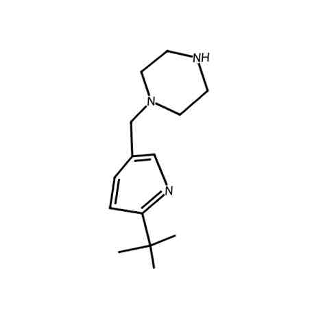 CC(C)(C)c1ccc(CN2CCNCC2)cn1